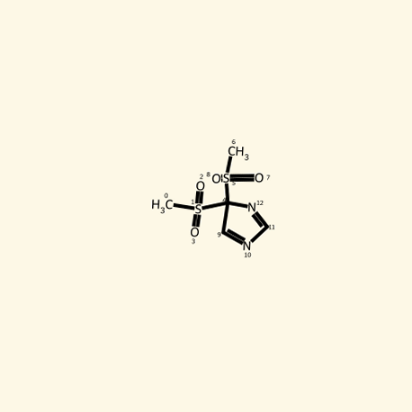 CS(=O)(=O)C1(S(C)(=O)=O)C=NC=N1